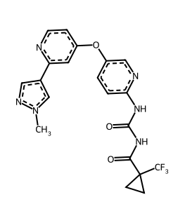 Cn1cc(-c2cc(Oc3ccc(NC(=O)NC(=O)C4(C(F)(F)F)CC4)nc3)ccn2)cn1